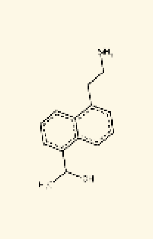 CC(O)c1cccc2c(CC[SiH3])cccc12